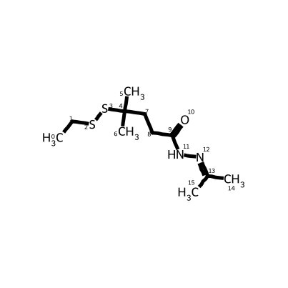 CCSSC(C)(C)CCC(=O)NN=C(C)C